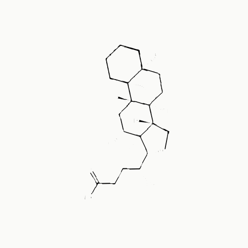 C[C@H](CCC(=O)O)[C@H]1CC[C@H]2[C@@H]3CC[C@@H]4CCCC[C@]4(C)[C@H]3C[C@@H](O)[C@]12C